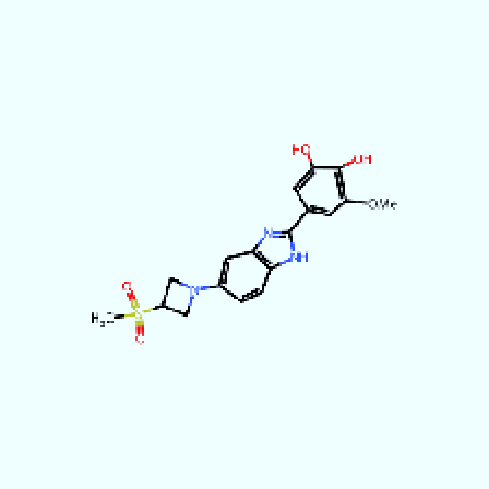 COc1cc(-c2nc3cc(N4CC(S(C)(=O)=O)C4)ccc3[nH]2)cc(O)c1O